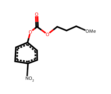 COCCCOC(=O)Oc1ccc([N+](=O)[O-])cc1